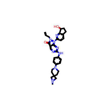 C=CCn1c(=O)c2cnc(Nc3ccc(N4CCC5(CC4)CN(C)C5)cc3)nc2n1-c1ccc2c(n1)C(O)CC2